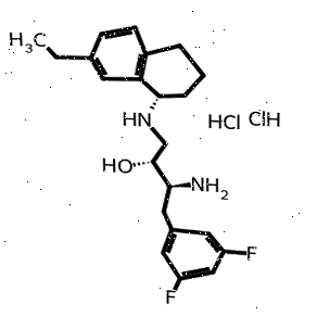 CCc1ccc2c(c1)[C@@H](NC[C@@H](O)[C@@H](N)Cc1cc(F)cc(F)c1)CCC2.Cl.Cl